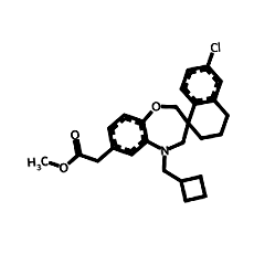 COC(=O)Cc1ccc2c(c1)N(CC1CCC1)CC1(CCCc3cc(Cl)ccc31)CO2